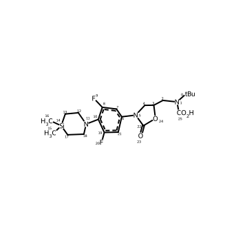 CC(C)(C)N(CC1CN(c2cc(F)c(N3CC[Si](C)(C)CC3)c(F)c2)C(=O)O1)C(=O)O